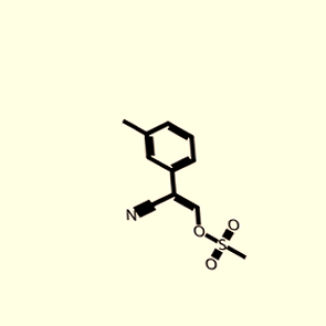 Cc1cccc(/C(C#N)=C/OS(C)(=O)=O)c1